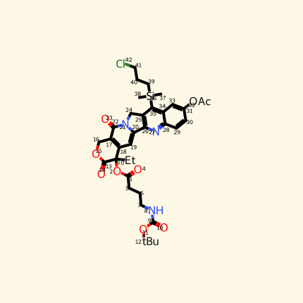 CCC1(OC(=O)CCCNC(=O)OC(C)(C)C)C(=O)OCc2c1cc1n(c2=O)Cc2c-1nc1ccc(OC(C)=O)cc1c2[Si](C)(C)CCCCl